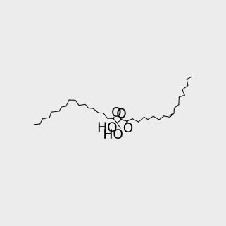 CCCCCCCC/C=C\CCCCCCCC(=O)C(=O)C(O)(CO)C(=O)CCCCCCC/C=C\CCCCCCCC